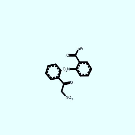 CCCC(=O)c1ccccc1[N+](=O)[O-].O=C(C[N+](=O)[O-])c1ccccc1